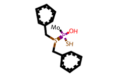 O[P](S)([Mo])=S(Cc1ccccc1)Cc1ccccc1